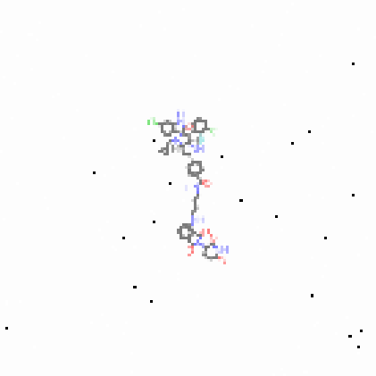 O=C1CCC(N2C(=O)c3cccc(NCCCCNC(=O)c4ccc([C@H]5C[C@H]6[C@@H](N5)[C@H](c5cccc(Cl)c5F)[C@]5(C(=O)Nc7cc(Cl)ccc75)N6CC5CC5)cc4)c3C2=O)C(=O)N1